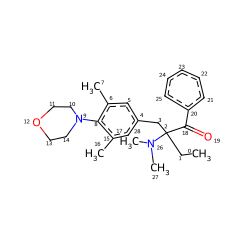 CCC(Cc1cc(C)c(N2CCOCC2)c(C)c1)(C(=O)c1ccccc1)N(C)C